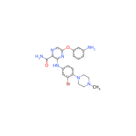 CN1CCN(c2ccc(Nc3nc(Oc4cccc(N)c4)cnc3C(N)=O)cc2Br)CC1